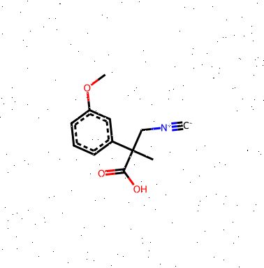 [C-]#[N+]CC(C)(C(=O)O)c1cccc(OC)c1